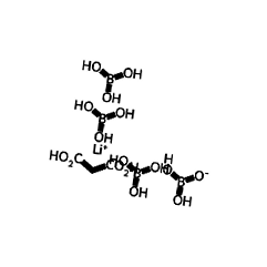 O=C(O)CC(=O)O.OB(O)O.OB(O)O.OB(O)O.[Li+].[O-]B(O)O